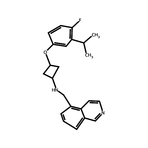 CC(C)c1cc(OC2CC(NCc3cccc4cnccc34)C2)ccc1F